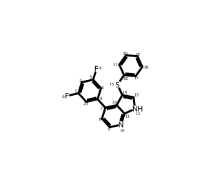 Fc1cc(F)cc(-c2ccnc3[nH]cc(Sc4ccccc4)c23)c1